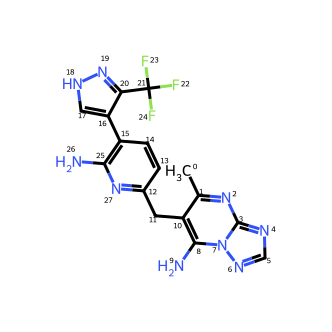 Cc1nc2ncnn2c(N)c1Cc1ccc(-c2c[nH]nc2C(F)(F)F)c(N)n1